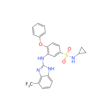 O=S(=O)(NC1CC1)c1ccc(Oc2ccccc2)c(Nc2nc3c(C(F)(F)F)cccc3[nH]2)c1